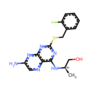 C[C@H](CO)Nc1nc(SCc2ccccc2F)nc2nc(N)cnc12